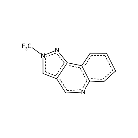 FC(F)(F)n1cc2cnc3ccccc3c2n1